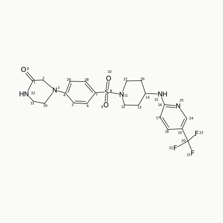 O=C1CN(c2ccc(S(=O)(=O)N3CCC(Nc4ccc(C(F)(F)F)cn4)CC3)cc2)CCN1